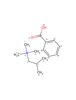 CC(C)C[N+](C)(C)C.O=C(O)c1ccccc1